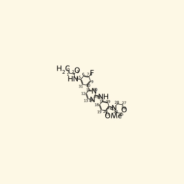 C=CC(=O)Nc1cc(F)cc(-c2ccnc(Nc3ccc(OC)c(N4CCOCC4)c3)n2)c1